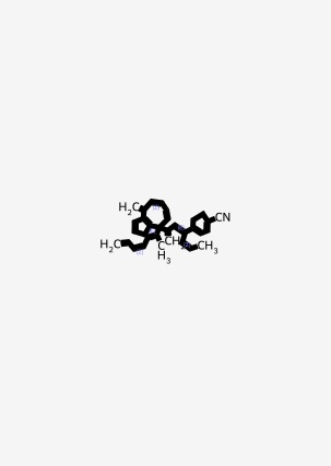 C=C/C=C\C=C(/C)C1(C(=C)/C=C(\C=C/C)C2=CC=C(C#N)CC2)C=C/C=C\C(=C)C2=C1CC=C2